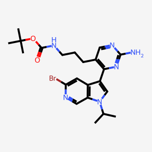 CC(C)n1cc(-c2nc(N)ncc2CCCNC(=O)OC(C)(C)C)c2cc(Br)ncc21